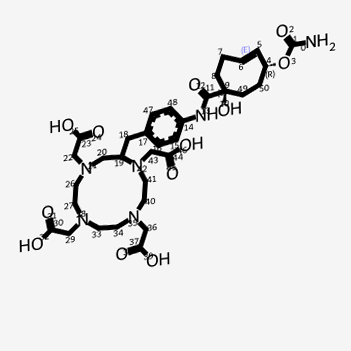 NC(=O)O[C@H]1/C=C/CC[C@@](O)(C(=O)Nc2ccc(CC3CN(CC(=O)O)CCN(CC(=O)O)CCN(CC(=O)O)CCN3CC(=O)O)cc2)CC1